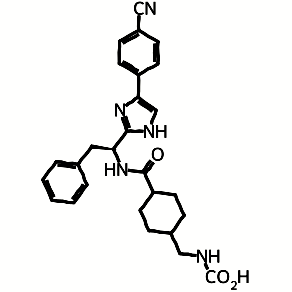 N#Cc1ccc(-c2c[nH]c([C@H](Cc3ccccc3)NC(=O)C3CCC(CNC(=O)O)CC3)n2)cc1